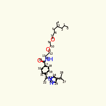 CCCC(C)CCCOCCOCCNC(=O)c1ccc(C(C)n2cc(C(C)C)cn2)cc1